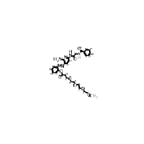 COCCOCCOCCOCCC(=O)Oc1ccccc1/N=N/c1ccc(NC(=O)CNC(=O)c2ccccc2)nc1N